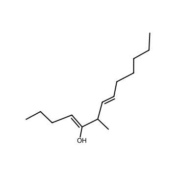 CCCC=C(O)C(C)C=CCCCCC